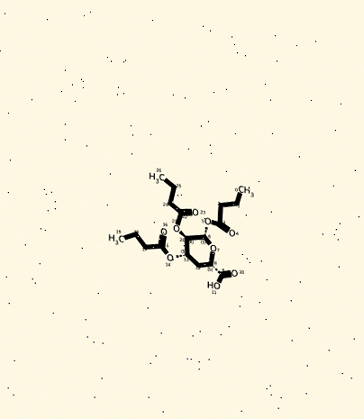 CCCC(=O)O[C@@H]1O[C@H](C(=O)O)C[C@H](OC(=O)CCC)[C@H]1OC(=O)CCC